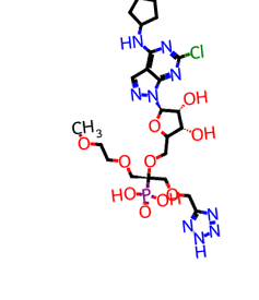 COCCOC[C@](COCc1nn[nH]n1)(OCC1O[C@@H](n2ncc3c(NC4CCCC4)nc(Cl)nc32)[C@H](O)[C@@H]1O)P(=O)(O)O